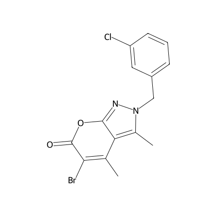 Cc1c(Br)c(=O)oc2nn(Cc3cccc(Cl)c3)c(C)c12